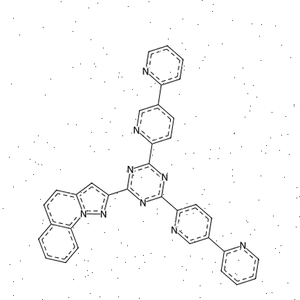 c1ccc(-c2ccc(-c3nc(-c4ccc(-c5ccccn5)cn4)nc(-c4cc5ccc6ccccc6n5n4)n3)nc2)nc1